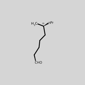 CCC[C@H](C)CCCCC=O